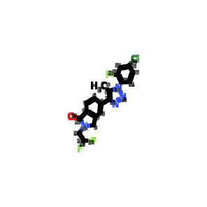 Cc1c(-c2ccc3c(c2)CN(CC(F)F)C3=O)nnn1-c1ccc(Cl)cc1F